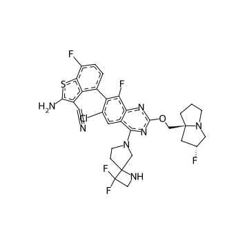 N#Cc1c(N)sc2c(F)ccc(-c3c(Cl)cc4c(N5CCC6(C5)NCC6(F)F)nc(OC[C@@]56CCCN5C[C@H](F)C6)nc4c3F)c12